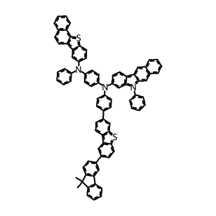 CC1(C)c2ccccc2-c2cc(-c3ccc4sc5cc(-c6ccc(N(c7ccc(N(c8ccccc8)c8ccc9sc%10c%11ccccc%11ccc%10c9c8)cc7)c7ccc8c9cc%10ccccc%10cc9n(-c9ccccc9)c8c7)cc6)ccc5c4c3)ccc21